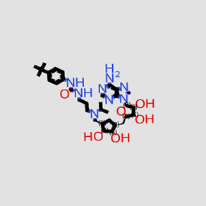 CC(C)N(CCCNC(=O)Nc1ccc(C(C)(C)C)cc1)C[C@H]1C[C@H](C[C@H]2O[C@@H](n3cnc4c(N)ncnc43)[C@H](O)[C@@H]2O)[C@H](O)[C@@H]1O